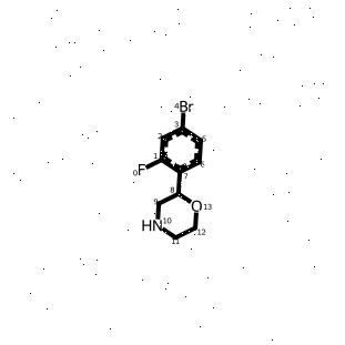 Fc1cc(Br)ccc1C1CNCCO1